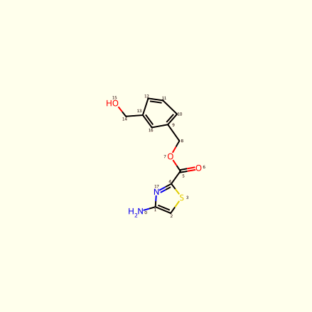 Nc1csc(C(=O)OCc2cccc(CO)c2)n1